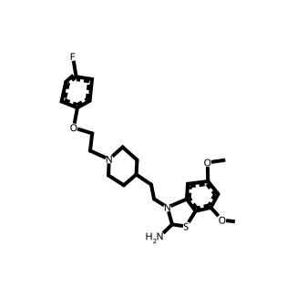 COc1cc(OC)c2c(c1)N(CCC1CCN(CCOc3ccc(F)cc3)CC1)C(N)S2